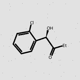 CCC(=O)[C@H](O)c1ccccc1Cl